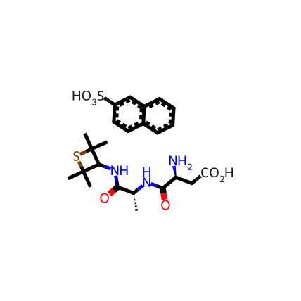 C[C@@H](NC(=O)[C@@H](N)CC(=O)O)C(=O)NC1C(C)(C)SC1(C)C.O=S(=O)(O)c1ccc2ccccc2c1